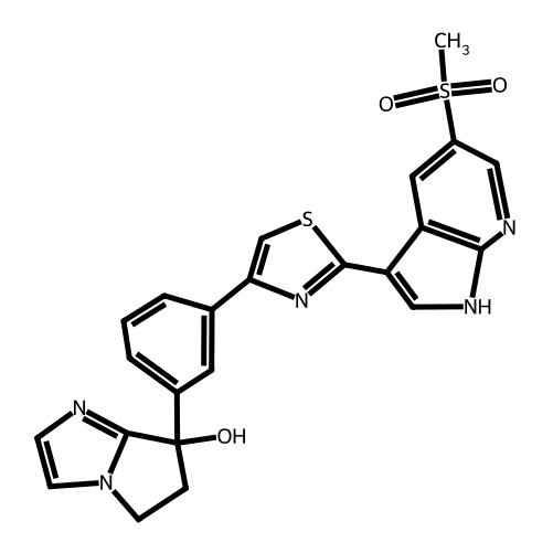 CS(=O)(=O)c1cnc2[nH]cc(-c3nc(-c4cccc(C5(O)CCn6ccnc65)c4)cs3)c2c1